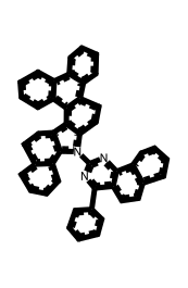 c1ccc(-c2nc(-n3c4ccc5c6ccccc6c6ccccc6c5c4c4ccc5ccccc5c43)nc3c2ccc2ccccc23)cc1